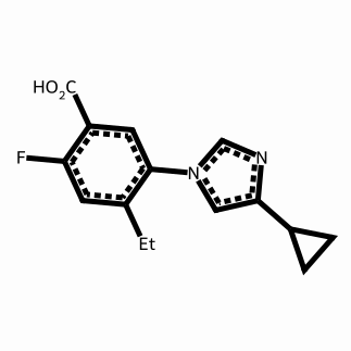 CCc1cc(F)c(C(=O)O)cc1-n1cnc(C2CC2)c1